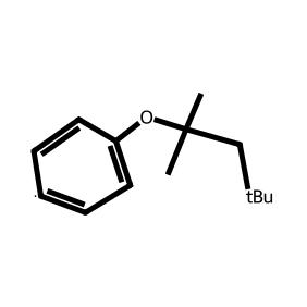 CC(C)(C)CC(C)(C)Oc1cc[c]cc1